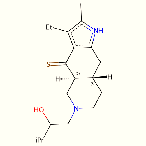 CCc1c(C)[nH]c2c1C(=S)[C@@H]1CN(CC(O)C(C)C)CC[C@H]1C2